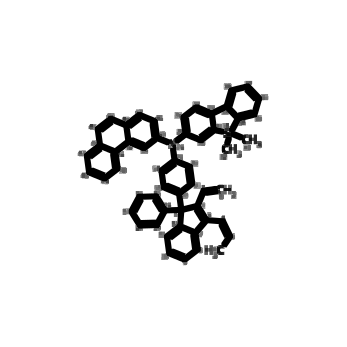 C=CC1=C(/C=C\C)c2ccccc2C1(c1ccccc1)c1ccc(N(c2ccc3c(c2)[Si](C)(C)c2ccccc2-3)c2ccc3ccc4ccccc4c3c2)cc1